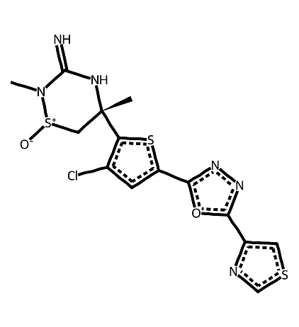 CN1C(=N)N[C@](C)(c2sc(-c3nnc(-c4cscn4)o3)cc2Cl)C[S+]1[O-]